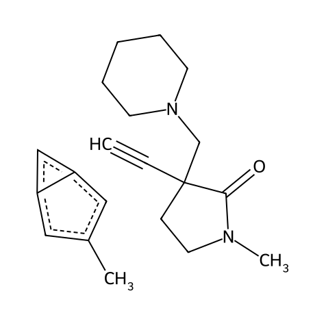 C#CC1(CN2CCCCC2)CCN(C)C1=O.Cc1cc2cc-2c1